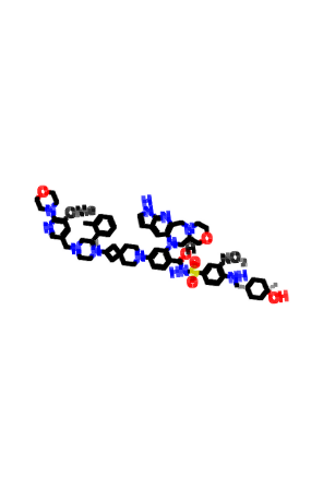 COc1cc(CN2CCN(C3CC4(CCN(c5ccc(C(=O)NS(=O)(=O)c6ccc(NC[C@H]7CC[C@](C)(O)CC7)c([N+](=O)[O-])c6)c(N6C[C@@H]7COCCN7Cc7nc8[nH]ccc8cc76)c5)CC4)C3)[C@H](c3ccccc3C)C2)cnc1N1CCOCC1